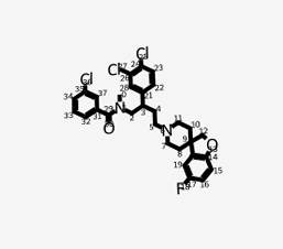 CN(CC(CCN1CCC2(CC1)COc1ccc(F)cc12)c1ccc(Cl)c(Cl)c1)C(=O)c1cccc(Cl)c1